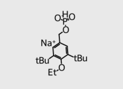 CCOc1c(C(C)(C)C)cc(CO[PH](=O)[O-])cc1C(C)(C)C.[Na+]